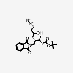 C[C@@H](NC(=O)OC(C)(C)C)[C@@H](CC(O)CN=[N+]=[N-])CN1C(=O)c2ccccc2C1=O